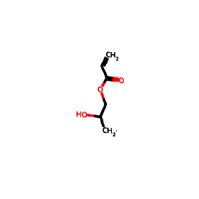 [CH2]C(O)COC(=O)C=C